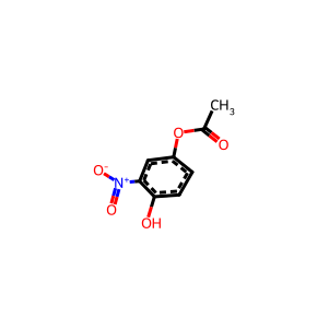 CC(=O)Oc1ccc(O)c([N+](=O)[O-])c1